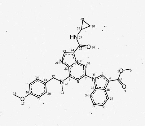 COC(=O)c1cn(-c2cc(N(C)Cc3ccc(OC)cc3)c3ncc(C(=O)NC4CC4)n3n2)c2ccccc12